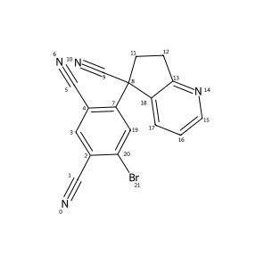 N#Cc1cc(C#N)c(C2(C#N)CCc3ncccc32)cc1Br